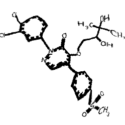 CC(C)(O)C(O)COc1c(-c2ccc(S(C)(=O)=O)cc2)cnn(-c2ccc(Cl)c(Cl)c2)c1=O